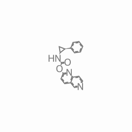 O=C(N[C@@H]1C[C@H]1c1ccccc1)Oc1ccc2cnccc2n1